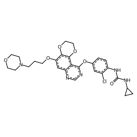 O=C(Nc1ccc(Oc2ncnc3cc(OCCCN4CCOCC4)c4c(c23)OCCO4)cc1Cl)NC1CC1